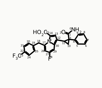 NC(=O)C1(c2ccccc2)CC1c1cc(C(=O)O)n2c(Cc3ccc(C(F)(F)F)cc3)cc(F)cc12